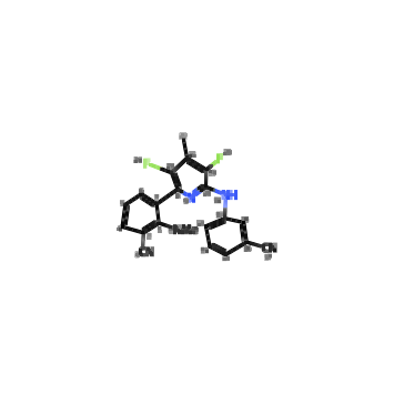 CNc1c(C#N)cccc1-c1nc(Nc2cccc(C#N)c2)c(F)c(C)c1F